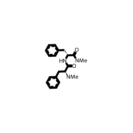 CNC(=O)[C@@H](Cc1ccccc1)NC(=O)[C@@H](Cc1ccccc1)NC